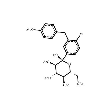 COc1ccc(Cc2cc([C@]3(O)O[C@H](COC(C)=O)[C@@H](OC(C)=O)[C@H](OC(C)=O)[C@H]3OC(C)=O)ccc2Cl)cc1